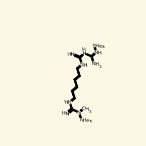 CCCCCCNC(N)NC(=N)NCCCCCCNC(=N)N(C)CCCCCC